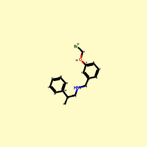 CC(CNCc1cccc(OCBr)c1)c1ccccc1